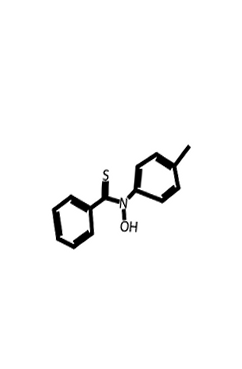 Cc1ccc(N(O)C(=S)c2ccccc2)cc1